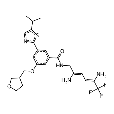 CC(C)c1cnc(-c2cc(OCC3CCOC3)cc(C(=O)NC/C(N)=C/C=C(\N)C(F)(F)F)c2)s1